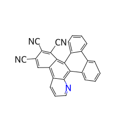 N#Cc1cc2c3cccnc3c3c4ccccc4c4ccccc4c3c2c(C#N)c1C#N